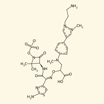 CN(CC(ON=C(C(=O)N[C@@H]1C(=O)N(OS(=O)(=O)[O-])C1(C)C)c1csc(N)n1)C(=O)O)c1ccc(-c2cn(CCCN)[n+](C)c2)cc1